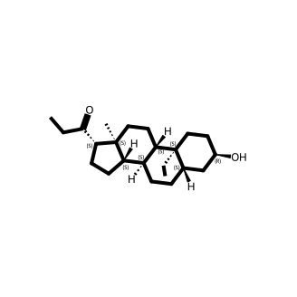 CCC(=O)[C@H]1CC[C@H]2[C@@H]3CC[C@H]4C[C@H](O)CC[C@]4(CC)[C@H]3CC[C@]12C